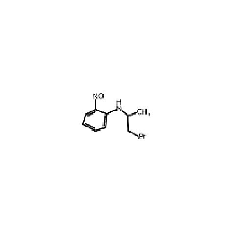 CC(C)CC(C)Nc1ccccc1N=O